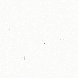 CCOC(=O)CCN1CC(c2ccc(OC(F)F)c3oc4ccncc4c23)CC1=O